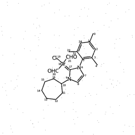 Cc1cc(C)c(-n2ccn(C3CCCCCC3)[c]2=[Ir]([Cl])([CH]=O)[CH]=O)c(C)c1